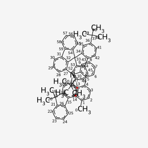 Cc1ccc(-c2ccccc2N(c2ccc3c(c2)C(C)(C)c2ccccc2-3)c2cccc3c2C2(c4cc(C(C)(C)C)ccc4-c4ccc(C(C)(C)C)cc42)c2ccccc2-3)cc1